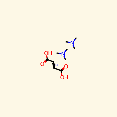 CN(C)C.CN(C)C.O=C(O)/C=C/C(=O)O